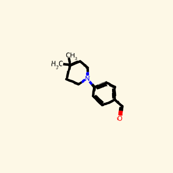 CC1(C)CCN(c2ccc(C=O)cc2)CC1